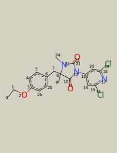 CCOc1ccc(CC2(C)C(=O)N(c3cc(Cl)nc(Cl)c3)C(=O)N2C)cc1